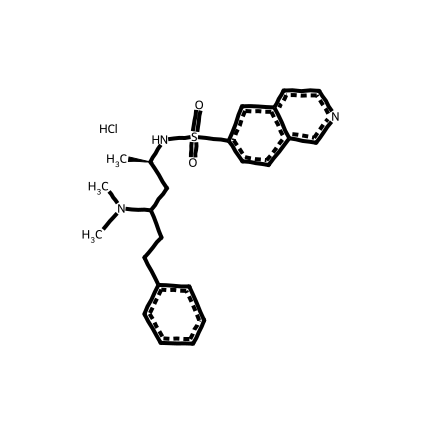 C[C@H](CC(CCc1ccccc1)N(C)C)NS(=O)(=O)c1ccc2cnccc2c1.Cl